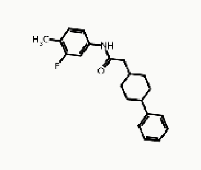 Cc1ccc(NC(=O)CC2CCC(c3ccccc3)CC2)cc1F